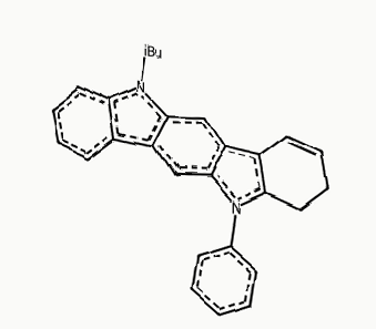 CCC(C)n1c2ccccc2c2cc3c(cc21)c1c(n3-c2ccccc2)CCC=C1